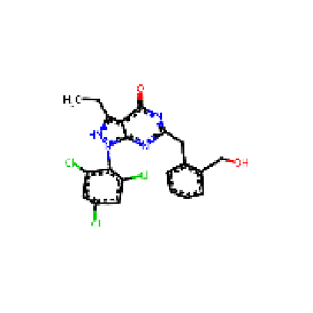 CCc1[nH]n(-c2c(Cl)cc(Cl)cc2Cl)c2nc(Cc3ccccc3CO)nc(=O)c1-2